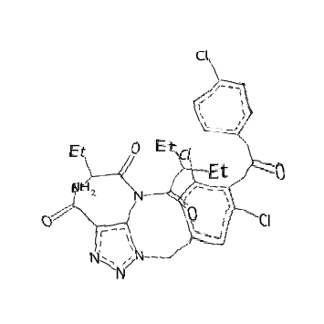 CCC(CC)C(=O)N(C(=O)C(CC)CC)c1c(C(N)=O)nnn1Cc1cc(Cl)c(C(=O)c2ccc(Cl)cc2)c(Cl)c1